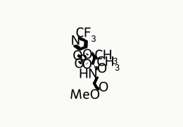 COC(=O)CCNC(=O)[C@@H]1OP(=O)(Oc2ccc(C(F)(F)F)nc2)OCC1(C)C